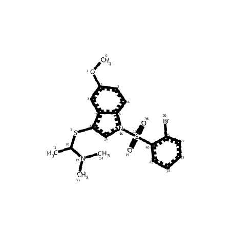 COc1ccc2c(c1)c(SC(C)N(C)C)cn2S(=O)(=O)c1ccccc1Br